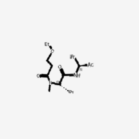 CCOCCC(=O)N(C)[C@H](C(=O)N[C@H](C(C)=O)C(C)C)C(C)C